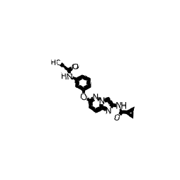 C#CC(=O)Nc1cccc(Oc2ccc3nc(NC(=O)C4CC4)cn3n2)c1